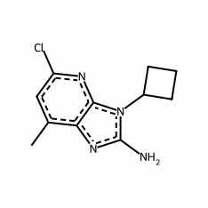 Cc1cc(Cl)nc2c1nc(N)n2C1CCC1